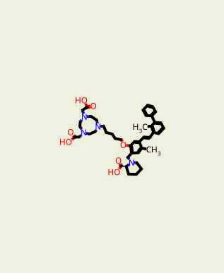 Cc1cc(CN2CCCC[C@H]2C(=O)O)c(OCCCCCN2CCN(CC(=O)O)CCN(CC(=O)O)CC2)cc1/C=C/c1cccc(-c2ccccc2)c1C